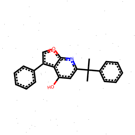 CC(C)(c1ccccc1)c1cc(O)c2c(-c3ccccc3)coc2n1